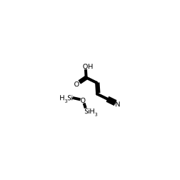 N#CC=CC(=O)O.[SiH3]O[SiH3]